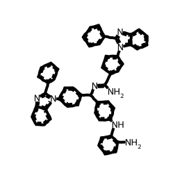 N/C(=N\C(c1ccc(Nc2ccccc2N)cc1)c1ccc(-n2c(-c3ccccc3)nc3ccccc32)cc1)c1ccc(-n2c(-c3ccccc3)nc3ccccc32)cc1